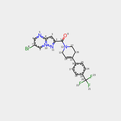 O=C(c1cc2ncc(Br)cn2n1)N1CC=C(c2ccc(C(F)(F)F)cc2)CC1